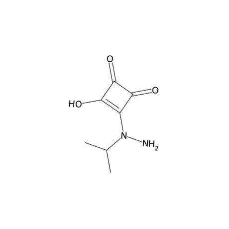 CC(C)N(N)c1c(O)c(=O)c1=O